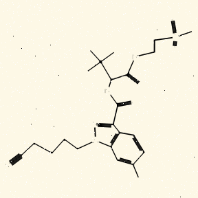 CC(C)(C)C(NC(=O)c1nn(CCCCC#N)c2cc(F)ccc12)C(=O)NCCS(C)(=O)=O